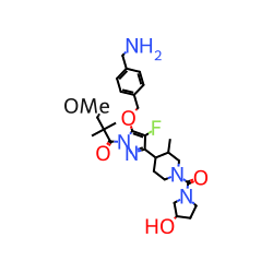 COCC(C)(C)C(=O)n1nc(C2CCN(C(=O)N3CCC(O)C3)CC2C)c(F)c1OCc1ccc(CN)cc1